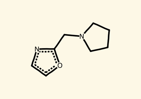 c1coc(CN2CCCC2)n1